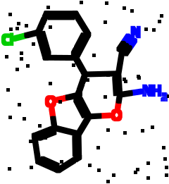 N#CC1=C(N)Oc2c(oc3ccccc23)C1c1cccc(Cl)c1